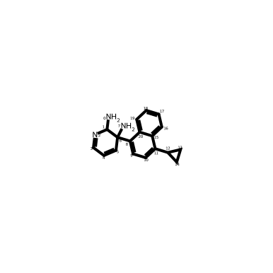 NC1N=CC=CC1(N)c1ccc(C2CC2)c2ccccc12